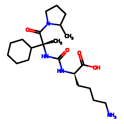 CC1CCCN1C(=O)[C@](C)(NC(=O)N[C@@H](CCCCN)C(=O)O)C1CCCCC1